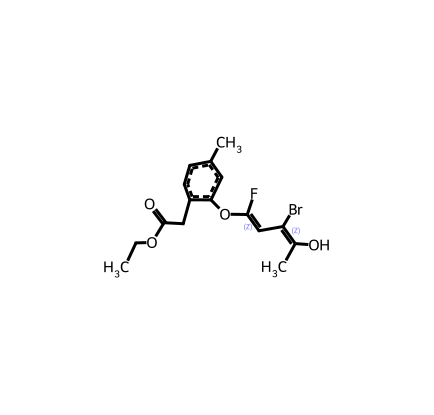 CCOC(=O)Cc1ccc(C)cc1O/C(F)=C/C(Br)=C(\C)O